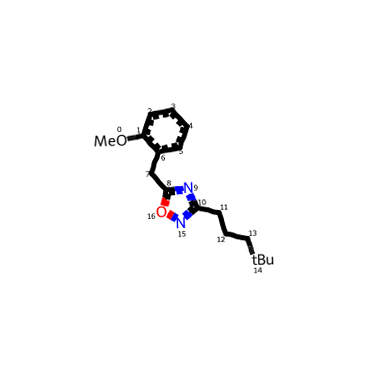 COc1ccccc1Cc1nc(CCCC(C)(C)C)no1